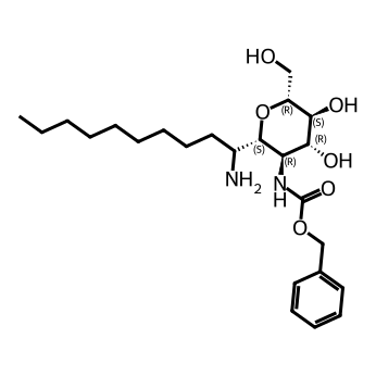 CCCCCCCCCC(N)[C@@H]1O[C@H](CO)[C@@H](O)[C@H](O)[C@H]1NC(=O)OCc1ccccc1